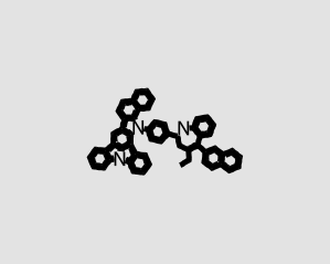 CCC1=C(c2ccc3ccccc3c2)c2ccccc2N=C(c2ccc(-n3c4c5ccccc5ccc4c4cc5c6ccccc6n6c7ccccc7c(c43)c56)cc2)C1